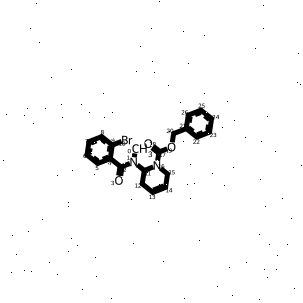 CN(C(=O)c1ccccc1Br)C1CC=CCN1C(=O)OCc1ccccc1